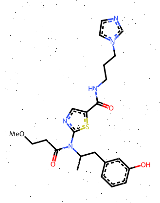 COCCC(=O)N(c1ncc(C(=O)NCCCn2ccnc2)s1)C(C)Cc1cccc(O)c1